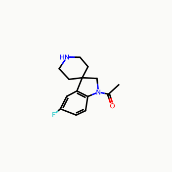 CC(=O)N1CC2(CCNCC2)c2cc(F)ccc21